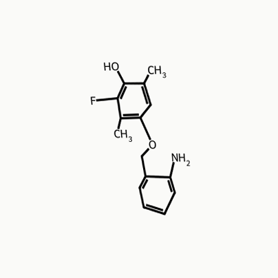 Cc1cc(OCc2ccccc2N)c(C)c(F)c1O